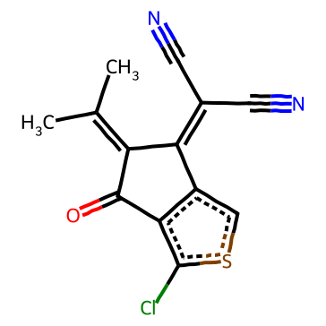 CC(C)=C1C(=O)c2c(csc2Cl)C1=C(C#N)C#N